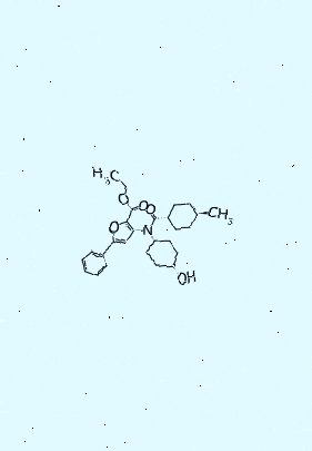 CCOC(=O)c1oc(-c2ccccc2)cc1N(C(=O)[C@H]1CC[C@H](C)CC1)[C@H]1CC[C@@H](O)CC1